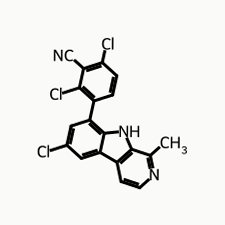 Cc1nccc2c1[nH]c1c(-c3ccc(Cl)c(C#N)c3Cl)cc(Cl)cc12